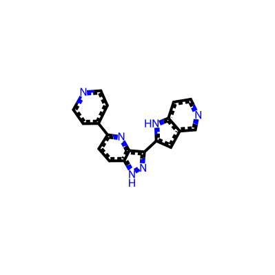 c1cc(-c2ccc3[nH]nc(-c4cc5cnccc5[nH]4)c3n2)ccn1